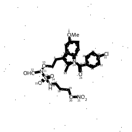 COc1ccc2c(c1)c(CCON(C=O)S(=O)(=O)NCCCO[N+](=O)[O-])c(C)n2C(=O)c1ccc(Cl)cc1